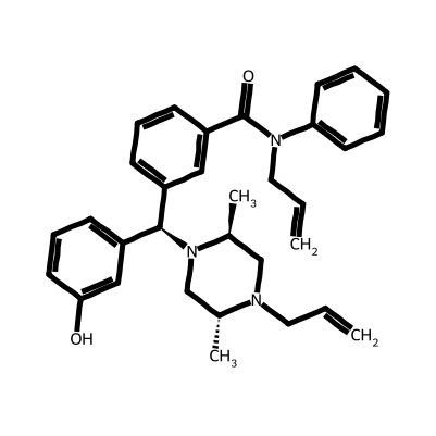 C=CCN(C(=O)c1cccc([C@H](c2cccc(O)c2)N2C[C@@H](C)N(CC=C)C[C@@H]2C)c1)c1ccccc1